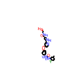 Cc1ccc(F)c(NC(=O)Nc2ccc(Oc3ccnc(-c4cc(C(=O)NCCO)c[nH]4)c3)cc2)c1